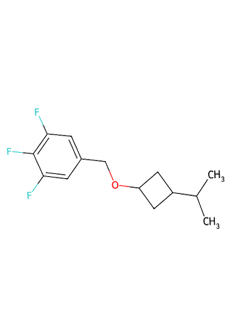 CC(C)C1CC(OCc2cc(F)c(F)c(F)c2)C1